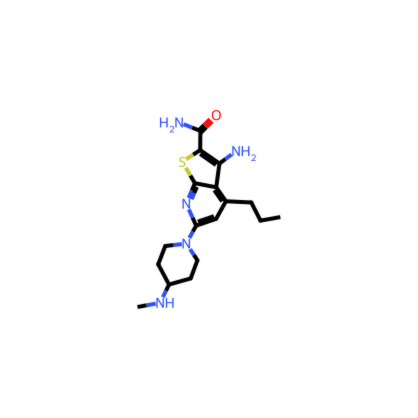 CCCc1cc(N2CCC(NC)CC2)nc2sc(C(N)=O)c(N)c12